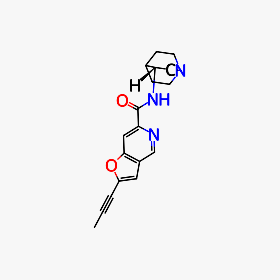 CC#Cc1cc2cnc(C(=O)N[C@H]3CN4CCC3CC4)cc2o1